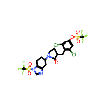 O=C1[C@H](Cc2c(Cl)cc(OS(=O)(=O)C(F)(F)F)cc2Cl)CCN1C1CCc2c(ncn2S(=O)(=O)C(F)(F)F)C1